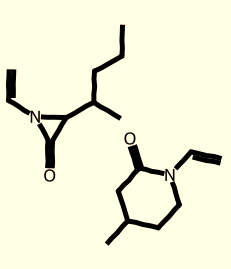 C=CN1C(=O)C1C(C)CCC.C=CN1CCC(C)CC1=O